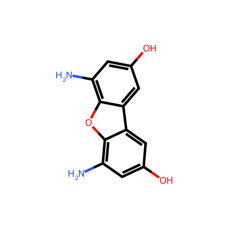 Nc1cc(O)cc2c1oc1c(N)cc(O)cc12